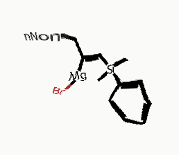 CCCCCCCCCC[C](=C[Si](C)(C)c1ccccc1)[Mg][Br]